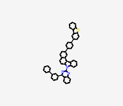 c1ccc(-c2cccc(-c3nc(-n4c5ccccc5c5c6cc(-c7ccc(-c8ccc9sc%10ccccc%10c9c8)cc7)ccc6ccc54)nc4ccccc34)c2)cc1